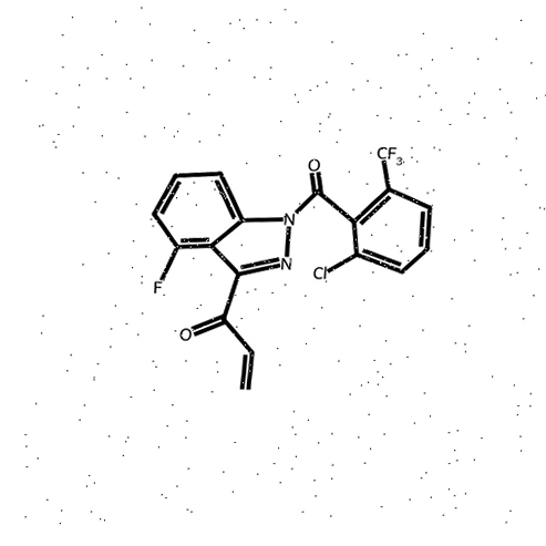 C=CC(=O)c1nn(C(=O)c2c(Cl)cccc2C(F)(F)F)c2cccc(F)c12